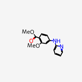 COC(=O)c1ccc(Nc2ccccn2)cc1OC